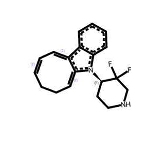 FC1(F)CNCC[C@H]1n1c2/c(c3ccccc31)=C\C=C/CC\C=2